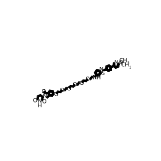 CN(C)c1ccc(-c2ccc(-c3nc4ccc(NCCOCCOCCOCCOCCOCCOc5ccc6c(c5)CN(C5CCC(=O)NC5=O)C6=O)cc4s3)cc2)cn1